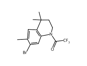 Cc1cc2c(cc1Br)N(C(=O)C(F)(F)F)CCC2(C)C